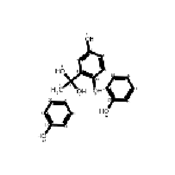 CC(O)(O)c1cc(O)ccc1O.Oc1ccccc1.Oc1ccccc1